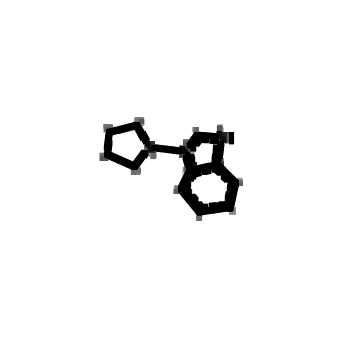 c1ccc2c(c1)[nH]c[n+]2N1CCCC1